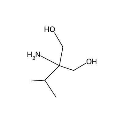 CC(C)C(N)(CO)CO